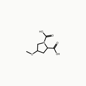 COC1CC(C(=O)O)N(C(=O)O)C1